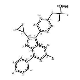 COC(C)(C)Cc1ccc(-c2c(C3CC3)nc3c(-c4ccncc4)cc(C)nn23)cn1